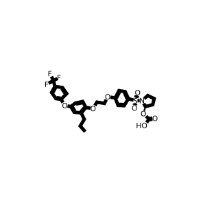 CCCc1cc(Oc2ccc(C(F)(F)F)cc2)ccc1OCCOc1ccc(S(=O)(=O)N2CCC[C@H]2OC(=O)O)cc1